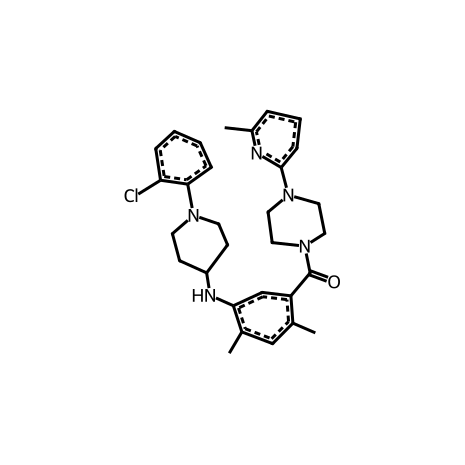 Cc1cccc(N2CCN(C(=O)c3cc(NC4CCN(c5ccccc5Cl)CC4)c(C)cc3C)CC2)n1